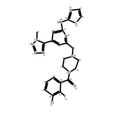 Cn1nnnc1-c1cc(CN2CCN(C(=O)c3cccc(Cl)c3F)CC2)nc(Nc2nccs2)c1